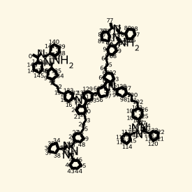 C=C(/N=C(\N=C(/N)c1ccc(CCCc2ccc(-n3c4ccc(CCCc5ccc(-c6nc(-c7ccccc7)nc(-c7ccccc7)n6)cc5)cc4c4cc(-c5ccc6c(c5)c5cc(CCCc7ccc(/C(N)=N/C(=N\C(=C)c8ccccc8)c8ccccc8)cc7)ccc5n6-c5ccc(CCCc6ccc(-c7nc(-c8ccccc8)nc(-c8ccccc8)n7)cc6)cc5)ccc43)cc2)cc1)c1ccccc1)c1ccccc1